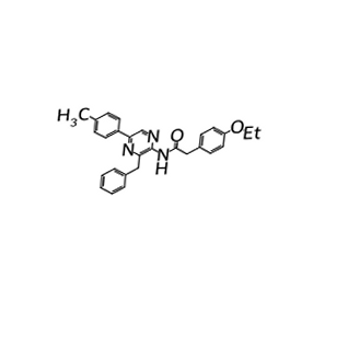 CCOc1ccc(CC(=O)Nc2ncc(-c3ccc(C)cc3)nc2Cc2ccccc2)cc1